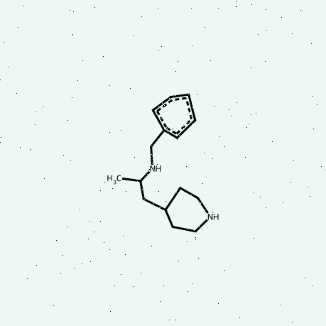 CC(CC1CCNCC1)NCc1[c]cccc1